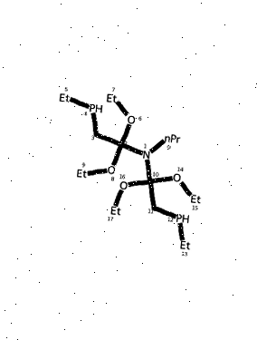 CCCN(C(CPCC)(OCC)OCC)C(CPCC)(OCC)OCC